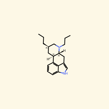 CCC[C@@H]1C[C@@H]2c3cccc4[nH]cc(c34)C[C@H]2N(CCC)C1